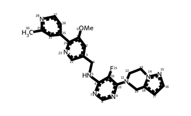 COc1cc(CNc2ncnc(N3CCn4nccc4C3)c2F)cnc1-c1ccnc(C)c1